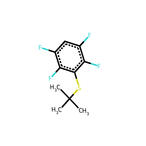 CC(C)(C)Sc1c(F)c(F)cc(F)c1F